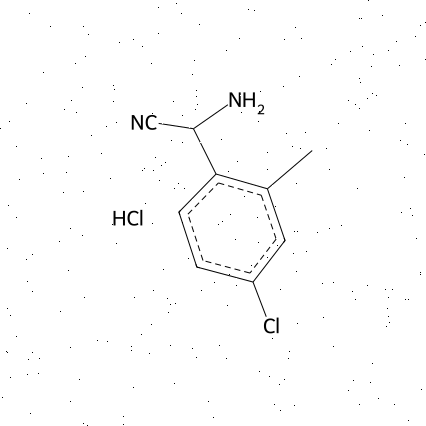 Cc1cc(Cl)ccc1C(N)C#N.Cl